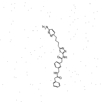 Nc1ccc(CCCCc2nnc(NC(=O)Cc3cccc(CNC(=O)Cc4ccccc4)c3)s2)nn1